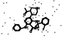 CC(=O)C1CNCCN1c1cnc(Nc2ccccc2)c(C(N)=O)c1NC1(c2ccccc2F)CC1